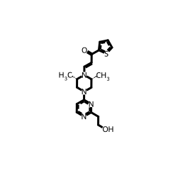 C[C@@H]1CN(c2ccnc(CCO)n2)C[C@H](C)N1/C=C/C(=O)c1cccs1